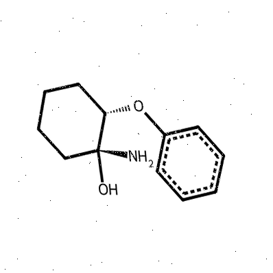 N[C@@]1(O)CCCC[C@@H]1Oc1ccccc1